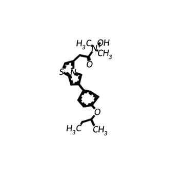 CCC(C)Oc1ccc(-c2cc3scc(CC(=O)[N+](C)(C)O)n3c2)cc1